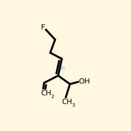 C=C/C(=C\CCF)C(C)O